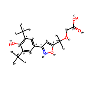 CC(C)(C)c1cc(-c2cc(C(C)(C)OCC(=O)O)on2)cc(C(C)(C)C)c1O